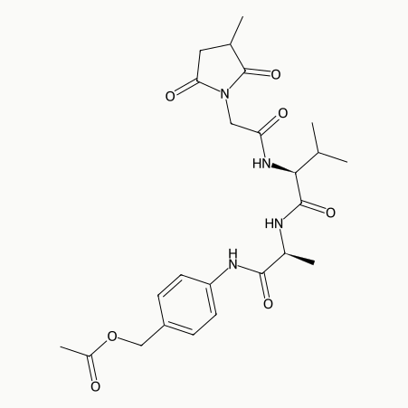 CC(=O)OCc1ccc(NC(=O)[C@H](C)NC(=O)[C@@H](NC(=O)CN2C(=O)CC(C)C2=O)C(C)C)cc1